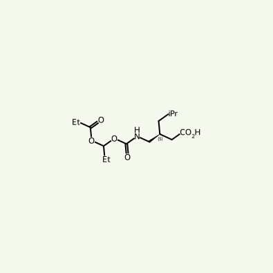 CCC(=O)OC(CC)OC(=O)NC[C@H](CC(=O)O)CC(C)C